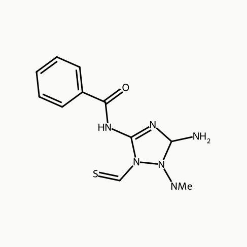 CNN1C(N)N=C(NC(=O)c2ccccc2)N1C=S